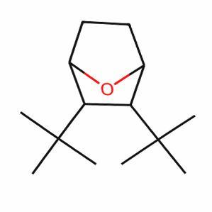 CC(C)(C)C1C2CCC(O2)C1C(C)(C)C